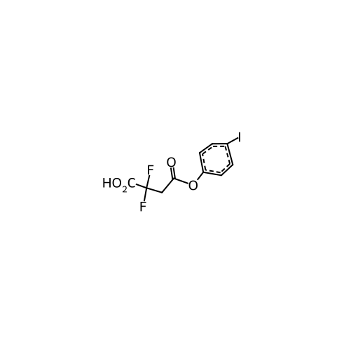 O=C(CC(F)(F)C(=O)O)Oc1ccc(I)cc1